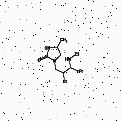 CCCC(NCC)C(CC)CN1CC(C)NC1=O